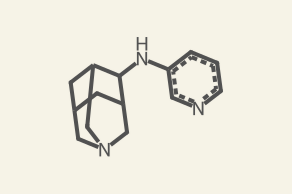 c1cncc(NC2C3CC4CC2CN(C4)C3)c1